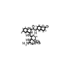 Cc1ccc2nc(C(=O)Nc3ccc4oc(=O)ccc4c3)nc(N[C@H]3CCCC[C@H]3NC(=N)N)c2c1.Cl.Cl